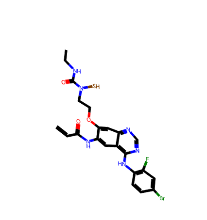 C=CC(=O)Nc1cc2c(Nc3ccc(Br)cc3F)ncnc2cc1OCCN(S)C(=O)NCC